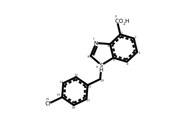 O=C(O)c1cccc2c1N=C[SH]2Cc1ccc(Cl)cc1